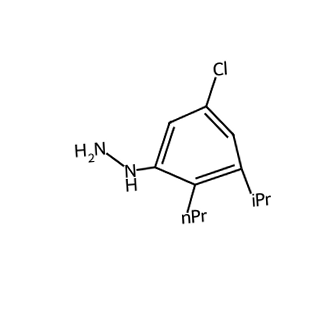 CCCc1c(NN)cc(Cl)cc1C(C)C